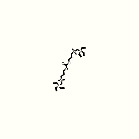 C=C[Si](C=C)(C=C)C[Si](C)(C)CCCOC(=O)OCCC[Si](C)(C)C[Si](C=C)(C=C)C=C